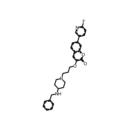 O=c1oc2cc(-c3ccc(F)nc3)ccc2cc1OCCCN1CCC(NCc2ccccc2)CC1